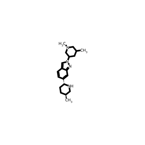 CC1CC(n2cc3ccc([C@H]4CC[C@H](C)CN4)cc3n2)CN(C)C1